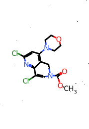 COC(=O)N1C=C(Cl)c2nc(Cl)cc(N3CCOCC3)c2C1